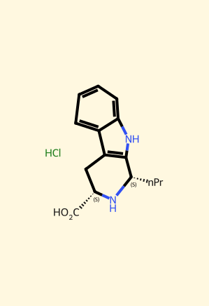 CCC[C@@H]1N[C@H](C(=O)O)Cc2c1[nH]c1ccccc21.Cl